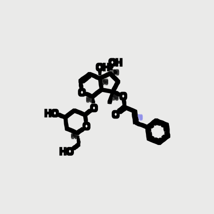 C[C@]1(OC(=O)/C=C/c2ccccc2)C[C@@H](O)[C@]2(O)C=CO[C@@H](OC3CC(O)C[C@@H](CO)O3)C12